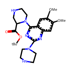 COc1cc2nc(N3CCNCC3)nc(N3CCNCC3C(=O)OC(C)(C)C)c2cc1OC